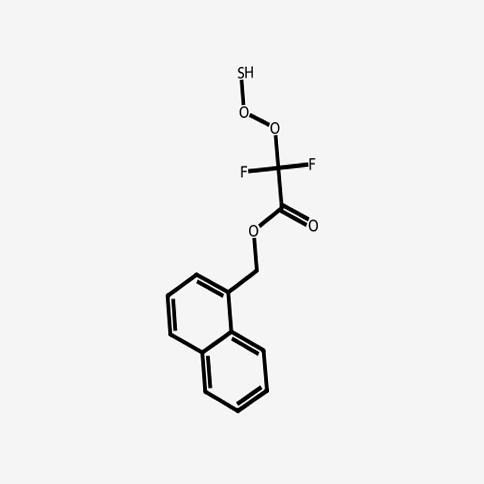 O=C(OCc1cccc2ccccc12)C(F)(F)OOS